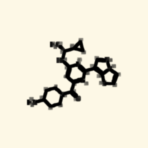 C[C@H](Nc1cc(C(=O)N2CCC(N)CC2)nc(-c2cnn3ccsc23)n1)C1CC1